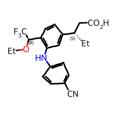 CCO[C@H](c1ccc([C@@H](CC)CC(=O)O)cc1Nc1ccc(C#N)cc1)C(F)(F)F